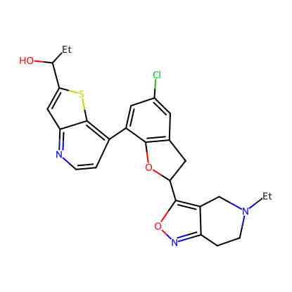 CCC(O)c1cc2nccc(-c3cc(Cl)cc4c3OC(c3onc5c3CN(CC)CC5)C4)c2s1